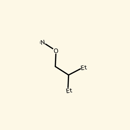 CCC(CC)CO[N]